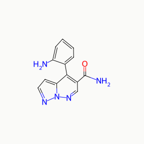 NC(=O)c1cnn2nccc2c1-c1ccccc1N